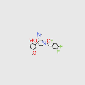 COc1cccc([C@]2(O)CCN(C(=O)Cc3cc(F)c(F)cc3F)C[C@H]2CN(C)C)c1